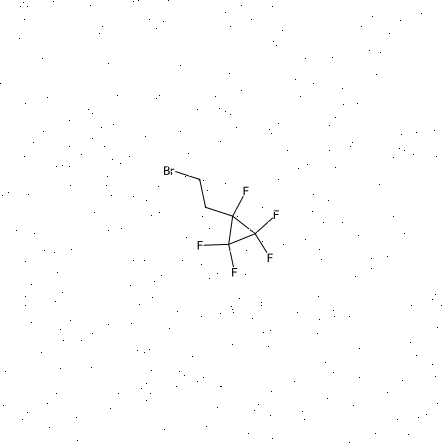 FC1(F)C(F)(F)C1(F)CCBr